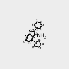 Nc1c(-c2ccccc2)sc2nccc(N3CCCC3)c12